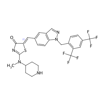 CN(C1=NC(=O)/C(=C/c2ccc3c(cnn3Cc3ccc(C(F)(F)F)cc3C(F)(F)F)c2)S1)C1CCNCC1